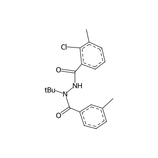 Cc1cccc(C(=O)N(NC(=O)c2cccc(C)c2Cl)C(C)(C)C)c1